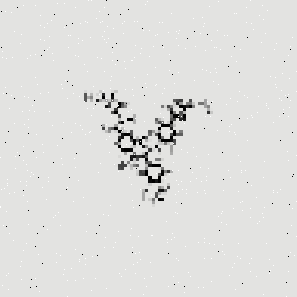 CCC[C@H](c1ccc(C(=O)NCCC(=O)O)cc1)[C@@H](C(=O)Nc1ccc(-c2cnc(C)s2)cc1)c1ccc(OC(F)(F)F)cc1